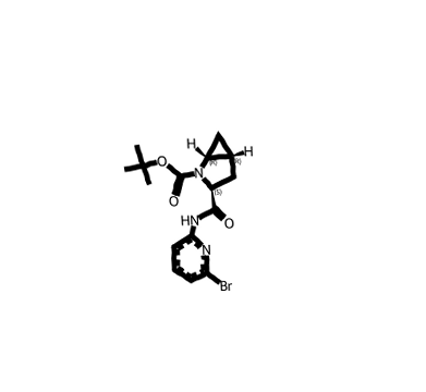 CC(C)(C)OC(=O)N1[C@@H]2C[C@@H]2C[C@H]1C(=O)Nc1cccc(Br)n1